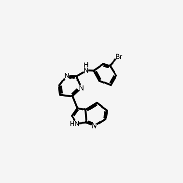 Brc1cccc(Nc2nccc(-c3c[nH]c4ncccc34)n2)c1